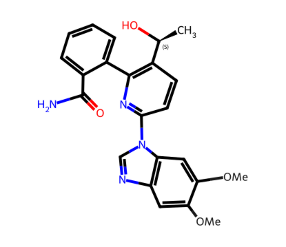 COc1cc2ncn(-c3ccc([C@H](C)O)c(-c4ccccc4C(N)=O)n3)c2cc1OC